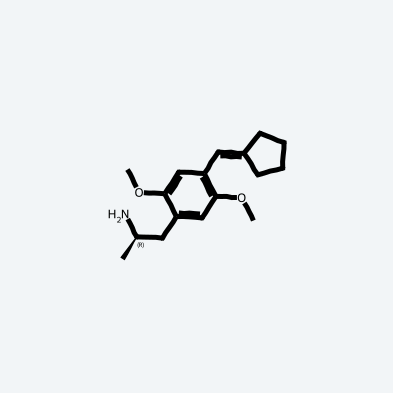 COc1cc(C[C@@H](C)N)c(OC)cc1C=C1CCCC1